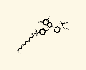 CC(C)N(C)[C@@H]1CCCN([C@H]2Cc3c(Cl)cc(Cl)cc3[C@@H]2Oc2ccc(S(=O)(=O)NCCOCCOCCN)cc2)C1